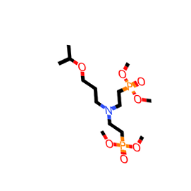 COP(=O)(CCN(CCCOC(C)C)CCP(=O)(OC)OC)OC